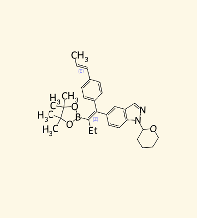 C/C=C/c1ccc(/C(=C(/CC)B2OC(C)(C)C(C)(C)O2)c2ccc3c(cnn3C3CCCCO3)c2)cc1